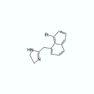 CCc1cccc2cccc(CC3=NCCN3)c12